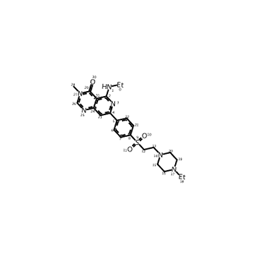 CCNc1nc(-c2ccc(S(=O)(=O)CCN3CCN(CC)CC3)cc2)cc2ncn(C)c(=O)c12